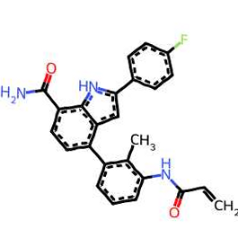 C=CC(=O)Nc1cccc(-c2ccc(C(N)=O)c3[nH]c(-c4ccc(F)cc4)cc23)c1C